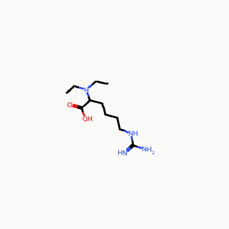 CCN(CC)C(CCCCNC(=N)N)C(=O)O